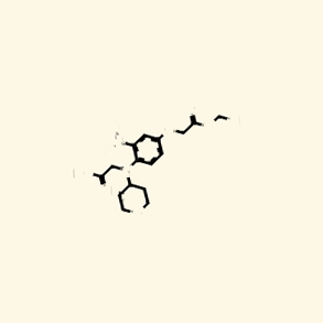 C=C(C)CN(c1ccc(OCC(=O)OCC)cc1[N+](=O)[O-])C1CCOCC1